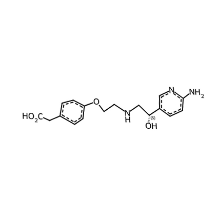 Nc1ccc([C@H](O)CNCCOc2ccc(CC(=O)O)cc2)cn1